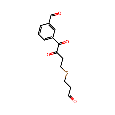 O=[C]CCSCCC(=O)C(=O)c1cccc([C]=O)c1